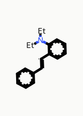 CCN(CC)c1ccccc1/[C]=C/c1ccccc1